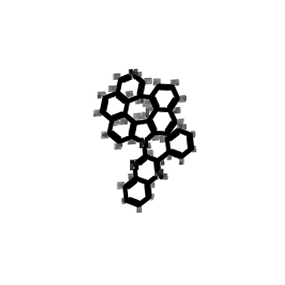 c1ccc(-c2nc3ccccc3nc2-n2c3ccc4cccc5c4c3c3c4c(ccc6cncc-5c64)ccc32)cc1